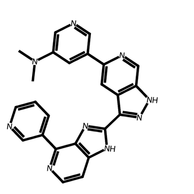 CN(C)c1cncc(-c2cc3c(-c4nc5c(-c6cccnc6)nccc5[nH]4)n[nH]c3cn2)c1